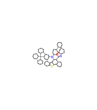 c1ccc(-c2ccc(N(c3ccc4c(c3)-c3ccccc3C4(c3ccccc3)c3ccccc3)c3c(-c4nc5ccccc5o4)c4ccccc4c4sc5ccccc5c34)cc2)cc1